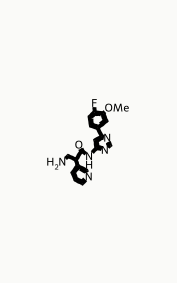 COc1cc(-c2cc(NC(=O)C(CN)c3cccnc3)ncn2)ccc1F